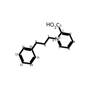 O=C(O)c1cccc[n+]1CCCc1ccccc1